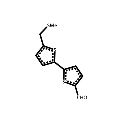 CSCc1ccc(-c2ccc(C=O)s2)s1